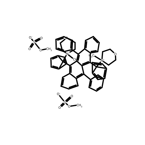 COS(=O)(=O)[O-].COS(=O)(=O)[O-].C[N+]1(C2(c3c4ccccc4c(-c4ccccc4)c4c(C5([N+]6(C)CCOCC6)C6=CC=C5C=C6)c5ccccc5c(-c5ccccc5)c34)C3=CC=C2C=C3)CCOCC1